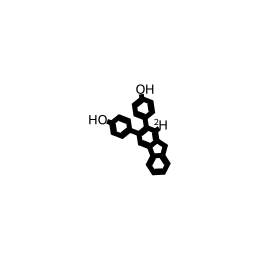 [2H]c1c2c(cc(-c3ccc(O)cc3)c1-c1ccc(O)cc1)-c1ccccc1C2